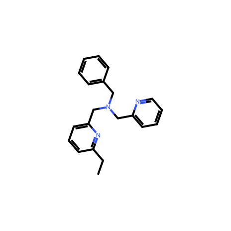 CCc1cccc(CN(Cc2ccccc2)Cc2ccccn2)n1